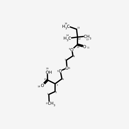 CCCC(COOCCOC(=O)C(C)(C)CC)C(=O)O